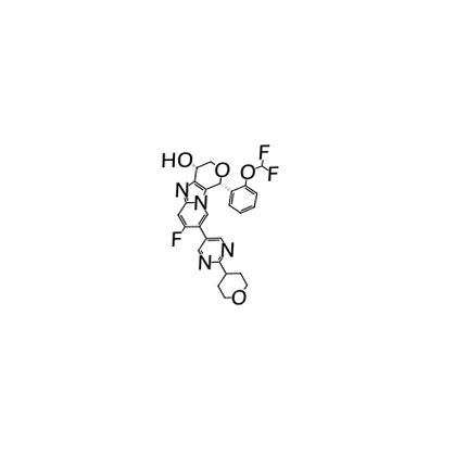 O[C@@H]1CO[C@H](c2ccccc2OC(F)F)c2c1nc1cc(F)c(-c3cnc(C4CCOCC4)nc3)cn21